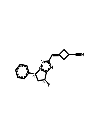 N#CC1CC(=Cc2nc3n(n2)[C@H](c2ccccc2)C[C@@H]3F)C1